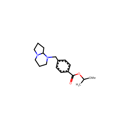 COC(C)OC(=O)c1ccc(CN2CCCN3CCCC32)cc1